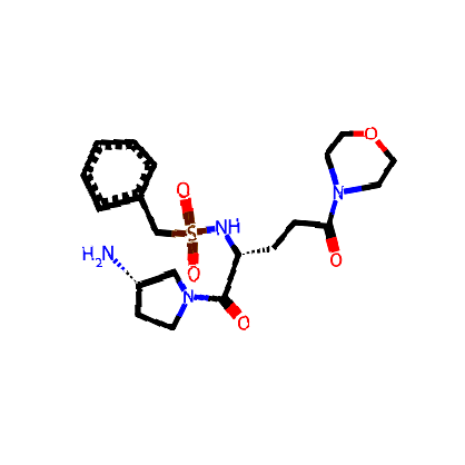 N[C@H]1CCN(C(=O)[C@@H](CCC(=O)N2CCOCC2)NS(=O)(=O)Cc2ccccc2)C1